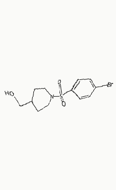 O=S(=O)(c1ccc(Br)cc1)N1CCC(CO)CC1